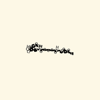 CN(C)CC=CC(=O)N1CCN(c2ccc(CCNC(=O)CCOCCOCCO/C=C/C(=O)NCCn3ccc(-c4cc(Cl)c(Cl)c5[nH]c6c(c45)CN(C(=O)CO)CC6)n3)s2)C(=O)C1